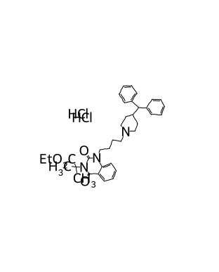 CCOC(=O)C(C)(C)n1c(=O)c2ccccc2n(CCCCN2CCC(C(c3ccccc3)c3ccccc3)CC2)c1=O.Cl.Cl